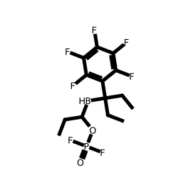 CCC(BC(CC)(CC)c1c(F)c(F)c(F)c(F)c1F)OP(=O)(F)F